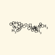 COc1c(CN2CCC(C(=O)O)C2)cc(Cl)c(OC2CCc3c(-c4cccc(NC(=O)c5nc6c(n5C)CCN(C(C)=O)C6)c4Cl)cccc32)c1F